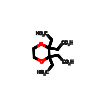 O=C(O)CC1(CC(=O)O)OCCOC1(CC(=O)O)CC(=O)O